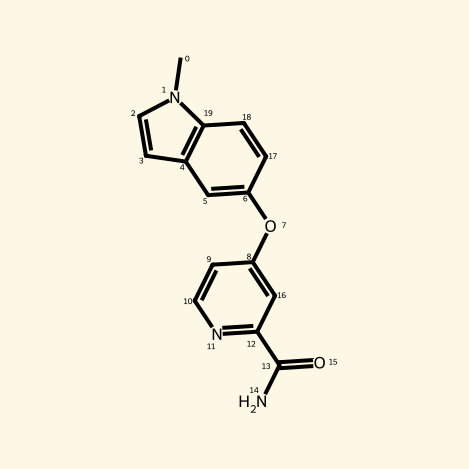 Cn1ccc2cc(Oc3ccnc(C(N)=O)c3)ccc21